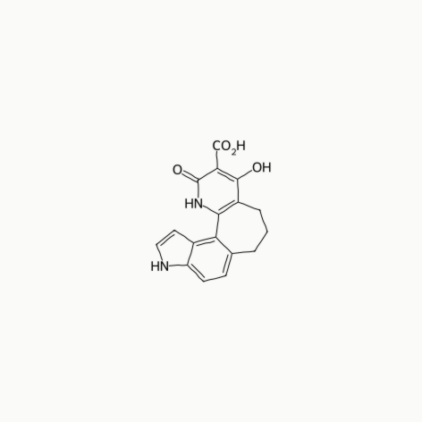 O=C(O)c1c(O)c2c([nH]c1=O)-c1c(ccc3[nH]ccc13)CCC2